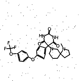 CN1CCCC12CCCN(C1(c3ccc(Oc4ccc(OC(F)(F)F)cc4)cc3)C(=O)NC(=O)NC1=O)C2